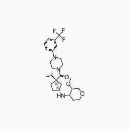 COC1COCCC1N[C@@H]1CC[C@@](C(=O)N2CCN(c3cccc(C(F)(F)F)c3)CC2)(C(C)C)C1